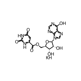 O=C(OC[C@H]1O[C@@H](n2cnc3c(O)ncnc32)[C@H](O)[C@@H]1O)c1cc(=O)[nH]c(=O)[nH]1.[KH]